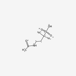 [2H]C([2H])(CCNC(C)=O)S(=O)(=O)O